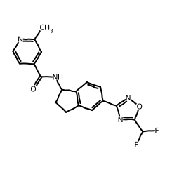 Cc1cc(C(=O)NC2CCc3cc(-c4noc(C(F)F)n4)ccc32)ccn1